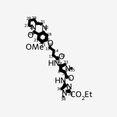 CCOC(=O)c1nc(NC(=O)c2cc(NC(=O)CCCOc3cc4c(cc3OC)C(=O)N3CCCC3C=N4)cn2C)cn1C